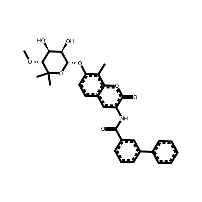 CO[C@@H]1[C@@H](O)[C@@H](O)[C@H](Oc2ccc3cc(NC(=O)c4cccc(-c5ccccc5)c4)c(=O)oc3c2C)OC1(C)C